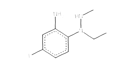 CCN(NC)c1ccc(F)cc1N